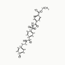 CCOC(=O)c1ccc(C(=O)NS(=O)(=O)c2ccc(C(=O)NCCc3ccc(Cl)cc3)cc2)cn1